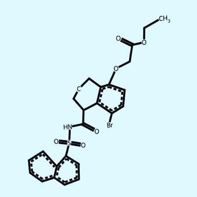 CCOC(=O)COc1ccc(Br)c2c1CCCC2C(=O)NS(=O)(=O)c1cccc2ccccc12